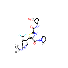 CC[C@H](Nc1cc(C(F)F)c(-c2sc(C(=O)NC3CC[C@H]3O)nc2C(=O)N2CCC[C@@H]2C)cn1)C(F)(F)F